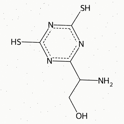 NC(CO)c1nc(S)nc(S)n1